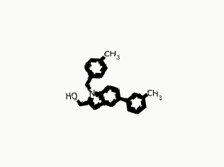 Cc1ccc(Cn2c(CO)cc3cc(-c4cccc(C)c4)ccc32)cc1